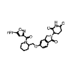 CCCc1cc(C(=O)N2CCCCC2COc2ccc3c(c2)CN(C2CCC(=O)NC2=O)C3=O)no1